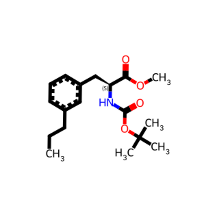 CCCc1cccc(C[C@H](NC(=O)OC(C)(C)C)C(=O)OC)c1